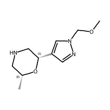 COCn1cc([C@H]2CNC[C@@H](C)O2)cn1